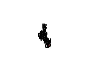 CC(=O)O[C@H]1CC[C@]2(C)[C@H]3CC[C@@H]4C5=C(C(C)C)C(=O)C[C@]5(C(=O)N5CCC[C@H]5CN5CCC(F)(F)CC5)CC[C@@]4(C)[C@]3(C)CC[C@H]2C1(C)C